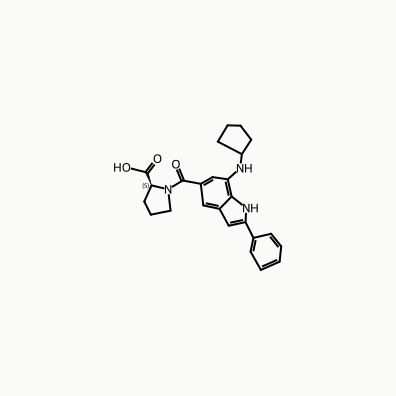 O=C(O)[C@@H]1CCCN1C(=O)c1cc(NC2CCCC2)c2[nH]c(-c3ccccc3)cc2c1